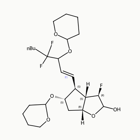 CCCCC(F)(F)C(/C=C/[C@H]1[C@H]2[C@@H](C[C@@H]1OC1CCCCO1)OC(O)[C@@H]2F)OC1CCCCO1